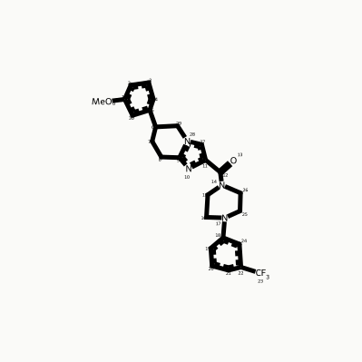 COc1cccc(C2CCc3nc(C(=O)N4CCN(c5cccc(C(F)(F)F)c5)CC4)cn3C2)c1